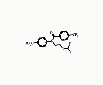 O=C(O)c1ccc(N(CCOC(F)F)C(=O)c2ccc(C(F)(F)F)cc2)cc1